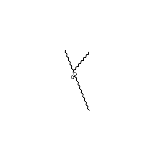 CCCCCCCCCCCCCCCCCC(=O)OCC(CCCCCCCCCC)CCCCCCCCCCCC